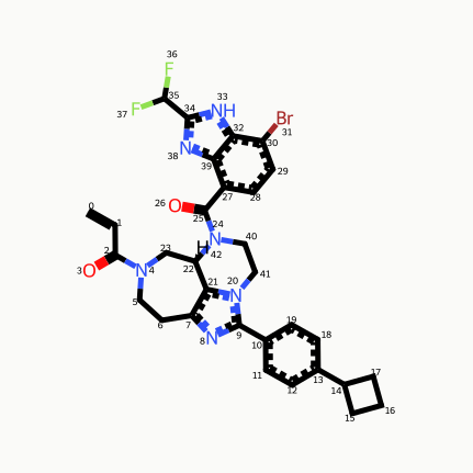 C=CC(=O)N1CCc2nc(-c3ccc(C4CCC4)cc3)n3c2[C@H](C1)N(C(=O)c1ccc(Br)c2[nH]c(C(F)F)nc12)CC3